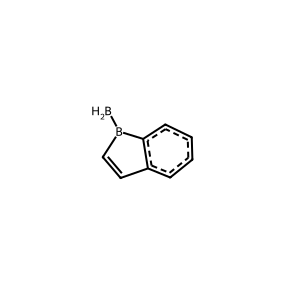 BB1C=Cc2ccccc21